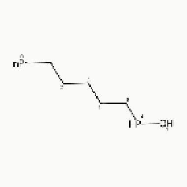 CCCCCCCCPO